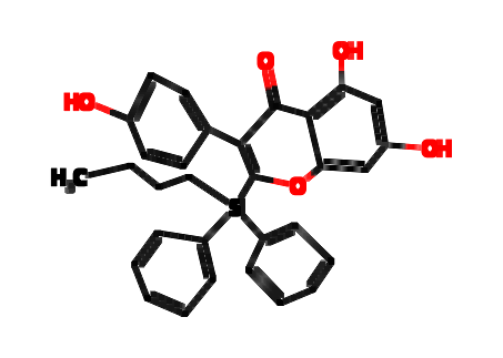 CCCC[Si](c1ccccc1)(c1ccccc1)c1oc2cc(O)cc(O)c2c(=O)c1-c1ccc(O)cc1